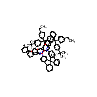 C=Cc1ccc(C2(c3ccc(C(C)(C)C)cc3)c3ccccc3-c3ccc(N(c4ccc(-c5ccccc5)cc4)c4ccc5c(c4)C4(c6ccccc6-5)c5ccccc5-c5ccc(N(c6ccc(-c7ccccc7)cc6)c6ccc7c(c6)C(c6ccc(C=C)cc6)(c6ccc(C(C)(C)C)cc6)c6ccccc6-7)cc54)cc32)cc1